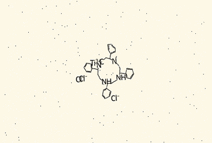 CN1CCC(c2ccccc2)NCCC(c2ccccc2)NCCC(c2ccccc2)[N]([Ti+3])CCC1c1ccccc1.[Cl-].[Cl-].[Cl-]